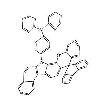 c1ccc(N(c2ccccc2)c2ccc(-n3c4ccc5ccccc5c4c4ccc5c(c43)Oc3ccccc3C53c4ccccc4-c4ccccc43)cc2)cc1